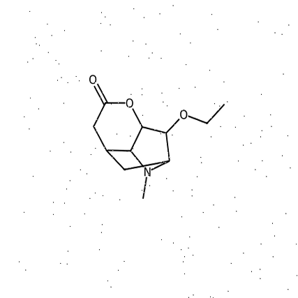 CCOC1C2OC(=O)CC3CC1N(C)C32